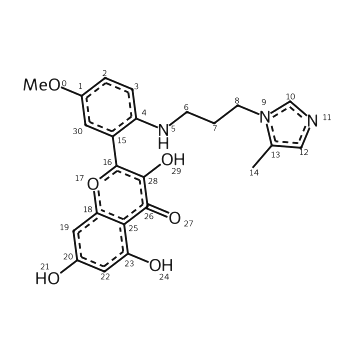 COc1ccc(NCCCn2cncc2C)c(-c2oc3cc(O)cc(O)c3c(=O)c2O)c1